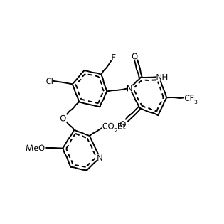 CCOC(=O)c1nccc(OC)c1Oc1cc(-n2c(=O)cc(C(F)(F)F)[nH]c2=O)c(F)cc1Cl